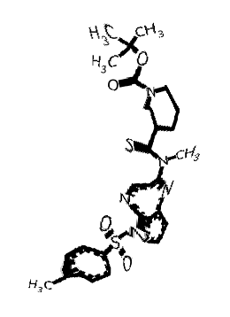 Cc1ccc(S(=O)(=O)n2ccc3nc(N(C)C(=S)C4CCCN(C(=O)OC(C)(C)C)C4)cnc32)cc1